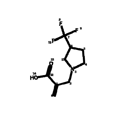 C=C(CN1CCC(C(F)(F)F)C1)C(=O)O